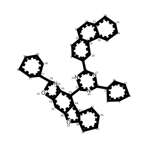 c1ccc(-c2nc(-c3ccc4ccc5ccccc5c4c3)nc(-c3c4nc(-c5ccccc5)oc4cc4oc5ccccc5c34)n2)cc1